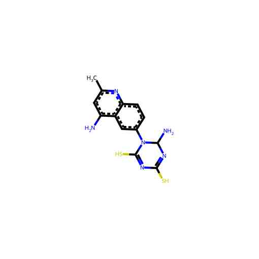 Cc1cc(N)c2cc(N3C(S)=NC(S)=NC3N)ccc2n1